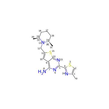 Cc1csc(-c2nc(N)c3cc(CN4[C@H](C)CCC[C@@H]4C)sc3n2)n1